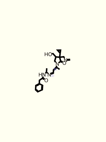 C=NCC1(C2CC2)C(=O)N(/C(C)=C/C=N\C(C)NC(=O)Cc2ccccc2)CC1CO